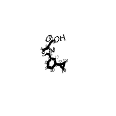 O=C(O)c1csc(-c2cccc(C3CC3)c2)n1